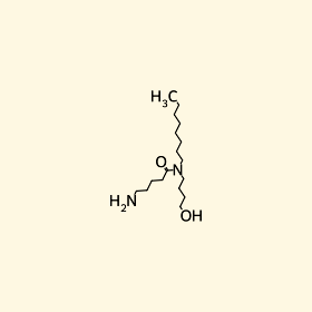 CCCCCCCCN(CCCCO)C(=O)CCCCN